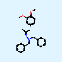 COc1ccc(C/C(C)=N\N(Cc2ccccc2)Cc2ccccc2)cc1OC